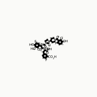 O=C(O)c1c(F)ccc2c1OB(O)[C@@H](NC(=O)[C@H](NC(=O)N1CCN(C3CCN(C(=O)c4c(F)ccc(O)c4Cl)CC3)C1=O)c1cc(F)c(O)c(O)c1Cl)C2